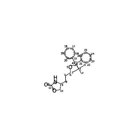 CC(C)(C)[Si](OCCCC1COC(=O)N1)(c1ccccc1)c1ccccc1